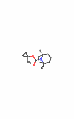 CC1(OC(=O)N2[C@@H]3CCC[C@@H]2CC3)CC1